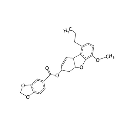 CCCc1ccc(OC)c2c1C1C=CC(OC(=O)c3ccc4c(c3)OCO4)CC1O2